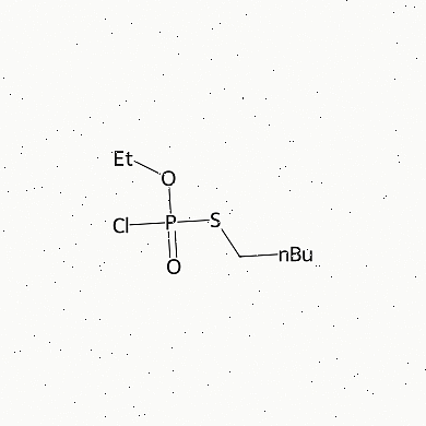 CCCCCSP(=O)(Cl)OCC